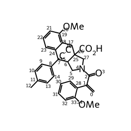 C=C(C(=O)N1CC2C3(c4ccc(C)cc4)CCC(c4c(OC)cccc43)C2(C(=O)O)C1)c1ccccc1OC